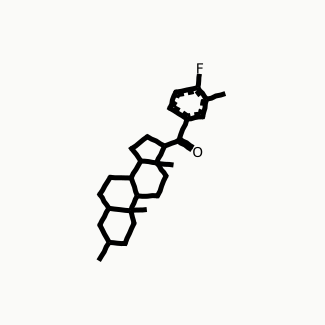 Cc1cc(C(=O)C2CCC3C4CCC5CC(C)CCC5(C)C4CCC23C)ccc1F